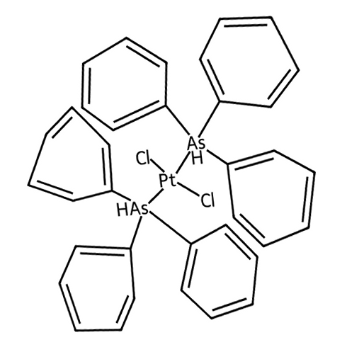 [Cl][Pt]([Cl])([AsH](c1ccccc1)(c1ccccc1)c1ccccc1)[AsH](c1ccccc1)(c1ccccc1)c1ccccc1